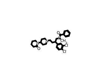 CN(CC(CCN1CCC(N2CCCCC2=O)CC1)c1ccc(Cl)c(Cl)c1)C(=O)c1ccccc1